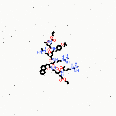 C=CCOC(=O)CC[C@H](CC(=O)CNC(=O)[C@@H](CC(=O)[C@@H](CCCNC(=N)NC)NC(=O)[C@H](CCCNC(C)=N)CC(=O)[C@H](Cc1ccc(OC(C)(C)C)cc1)NC(=O)[C@H](CNC(=O)OCC=C)CC(C)=O)Cc1ccc2ccccc2c1)C(=O)N[C@@H](CCCNC(=N)NC)C(C)=O